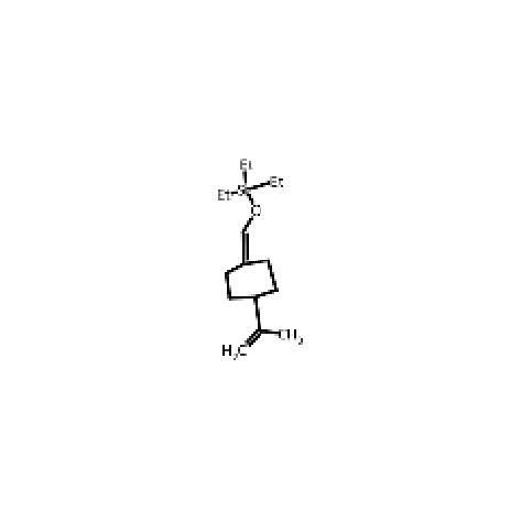 C=C(C)C1CCC(=CO[Si](CC)(CC)CC)CC1